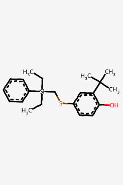 CC[Si](CC)(CSc1ccc(O)c(C(C)(C)C)c1)c1ccccc1